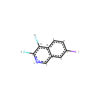 Fc1ncc2cc(I)ccc2c1F